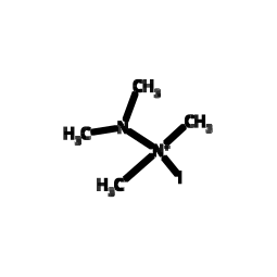 CN(C)[N+](C)(C)I